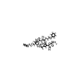 C[C@@H](NC(=O)[C@@H]1C[C@]2(COCCN=[N+]=[N-])C[C@@H]2N1C(=O)CNC(=O)CCCOc1ccccc1)c1cc(C(=N)OC(N)=O)cs1